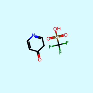 O=C1C=CN=CC1.O=S(=O)(O)C(F)(F)F